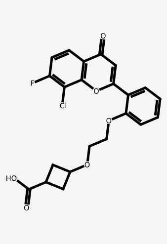 O=C(O)C1CC(OCCOc2ccccc2-c2cc(=O)c3ccc(F)c(Cl)c3o2)C1